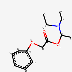 CCN(CC)C(C)OC(=O)COc1ccccc1